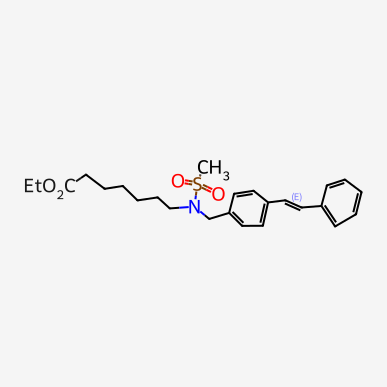 CCOC(=O)CCCCCCN(Cc1ccc(/C=C/c2ccccc2)cc1)S(C)(=O)=O